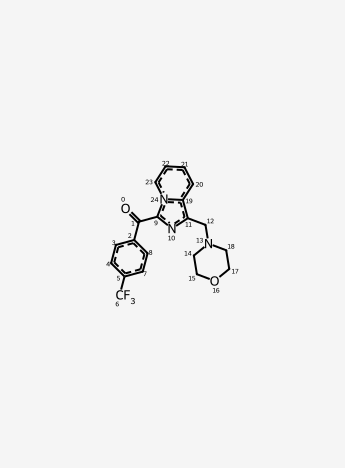 O=C(c1ccc(C(F)(F)F)cc1)c1nc(CN2CCOCC2)c2ccccn12